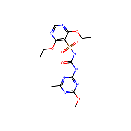 CCOc1ncnc(OCC)c1S(=O)(=O)NC(=O)Nc1nc(C)nc(OC)n1